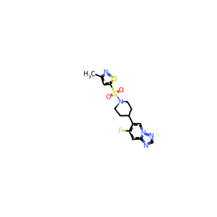 Cc1cc(S(=O)(=O)N2CCC(c3cn4ncnc4cc3F)CC2)sn1